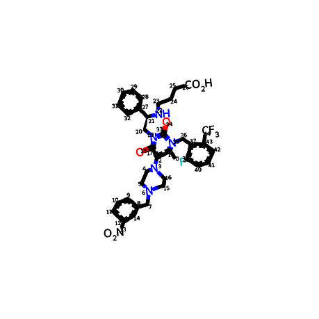 Cc1c(N2CCN(Cc3cccc([N+](=O)[O-])c3)CC2)c(=O)n(C[C@H](NCCCC(=O)O)c2ccccc2)c(=O)n1Cc1c(F)cccc1C(F)(F)F